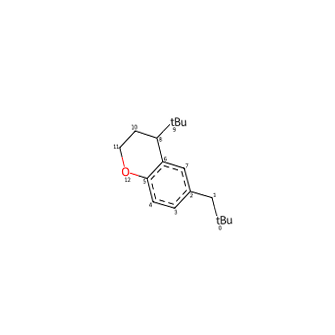 CC(C)(C)Cc1ccc2c(c1)C(C(C)(C)C)CCO2